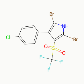 O=S(=O)(c1c(Br)[nH]c(Br)c1-c1ccc(Cl)cc1)C(F)(F)F